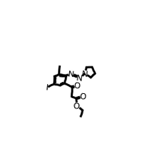 CCOC(=O)CC(=O)c1cc(I)cc(C)c1/N=N/N1CCCC1